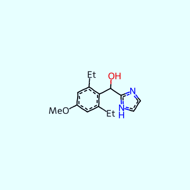 CCc1cc(OC)cc(CC)c1C(O)c1ncc[nH]1